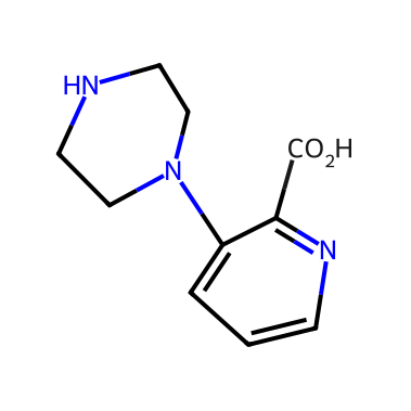 O=C(O)c1ncccc1N1CCNCC1